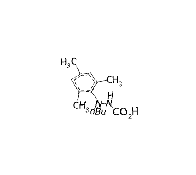 CCCCN(NC(=O)O)c1c(C)cc(C)cc1C